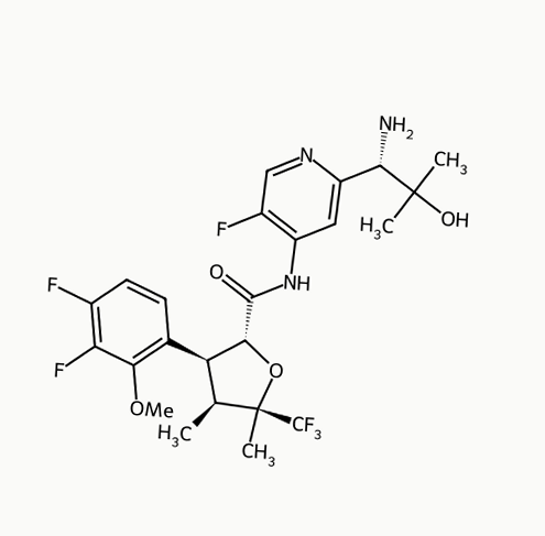 COc1c([C@H]2[C@H](C(=O)Nc3cc([C@H](N)C(C)(C)O)ncc3F)O[C@@](C)(C(F)(F)F)[C@H]2C)ccc(F)c1F